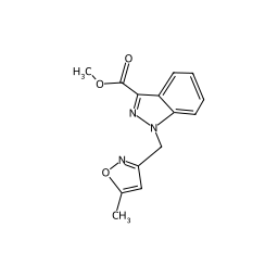 COC(=O)c1nn(Cc2cc(C)on2)c2ccccc12